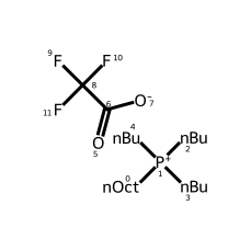 CCCCCCCC[P+](CCCC)(CCCC)CCCC.O=C([O-])C(F)(F)F